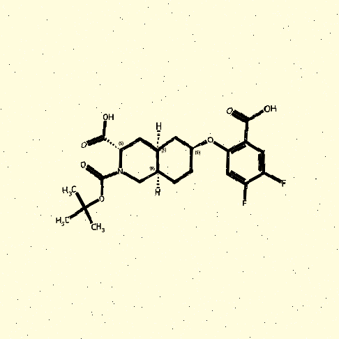 CC(C)(C)OC(=O)N1C[C@@H]2CC[C@H](Oc3cc(F)c(F)cc3C(=O)O)C[C@@H]2C[C@H]1C(=O)O